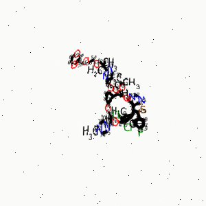 Cc1c(Cl)c2c(Cl)c(C)c1-c1c(-c3ccc(F)cc3)sc3ncnc(c13)O[C@@H](C(=O)OC(C)(C)C)Cc1cc(ccc1OCc1ccnc(C(C)(C)COCCOC[C@H]3COCCO3)n1)OC[C@@H](CN1CCN(C)CC1)O2